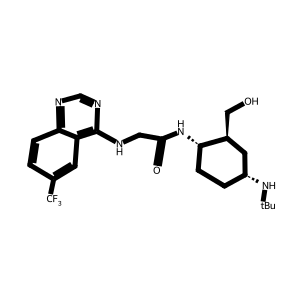 CC(C)(C)N[C@@H]1CC[C@H](NC(=O)CNc2ncnc3ccc(C(F)(F)F)cc23)[C@@H](CO)C1